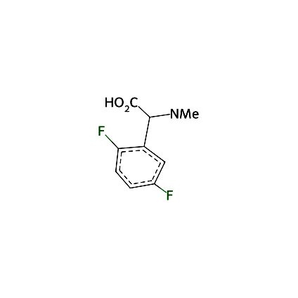 CNC(C(=O)O)c1cc(F)ccc1F